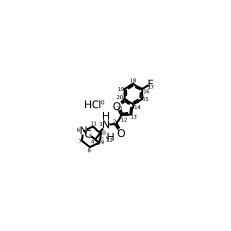 Cl.O=C(N[C@@H]1CN2CCC1CC2)c1cc2cc(F)ccc2o1